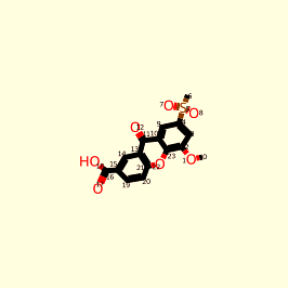 COc1cc(S(C)(=O)=O)cc2c(=O)c3cc(C(=O)O)ccc3oc12